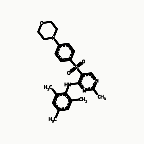 Cc1cc(C)c(Nc2nc(C)ncc2S(=O)(=O)c2ccc(N3CCOCC3)cc2)c(C)c1